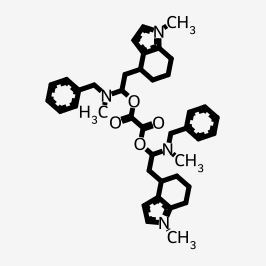 CN(Cc1ccccc1)C(CC1CCCc2c1ccn2C)OC(=O)C(=O)OC(CC1CCCc2c1ccn2C)N(C)Cc1ccccc1